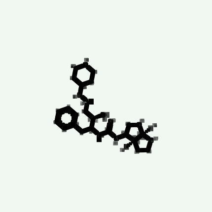 O=C(NC(Cc1ccccc1)[C@H](O)CNOC1CCOCC1)OC1CO[C@H]2OCC[C@@H]12